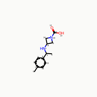 Cc1ccc(C(C)NC2CN(C(=O)O)C2)cc1